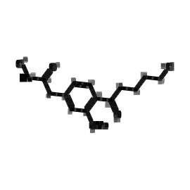 COc1cc(CC(=O)NCl)ccc1C(=O)CCCCCl